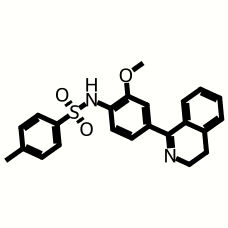 COc1cc(C2=NCCc3ccccc32)ccc1NS(=O)(=O)c1ccc(C)cc1